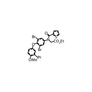 CCOC(=O)CN(C(=O)c1cccs1)c1cc(Br)c(Oc2ccc(OC)c(C(C)C)c2)c(Br)c1